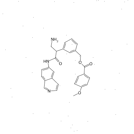 COc1ccc(C(=O)OCc2cccc(C(CN)C(=O)Nc3ccc4cnccc4c3)c2)cc1